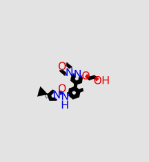 Cc1ccc(NC(=O)N2CC[C@@H](C3CC3)C2)cc1-c1cc(OCCO)nc(N2CCOCC2)c1